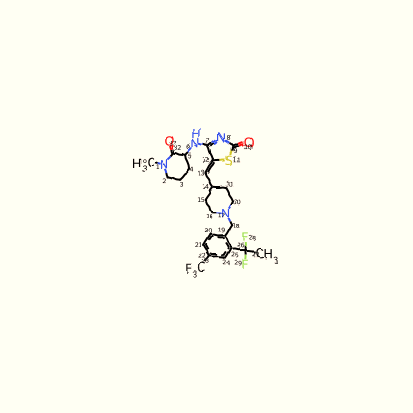 CN1CCCC(NC2=NC(=O)S/C2=C\C2CCN(Cc3ccc(C(F)(F)F)cc3C(C)(F)F)CC2)C1=O